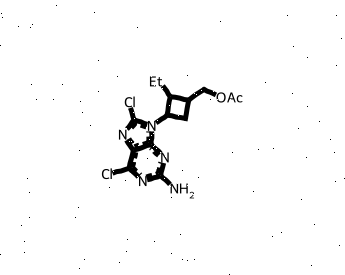 CCC1C(COC(C)=O)CC1n1c(Cl)nc2c(Cl)nc(N)nc21